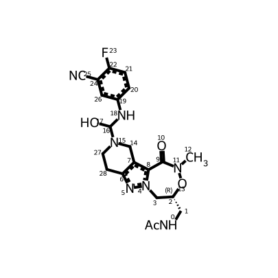 CC(=O)NC[C@@H]1Cn2nc3c(c2C(=O)N(C)O1)CN(C(O)Nc1ccc(F)c(C#N)c1)CC3